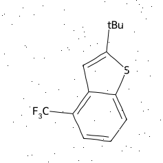 CC(C)(C)c1cc2c(C(F)(F)F)cccc2s1